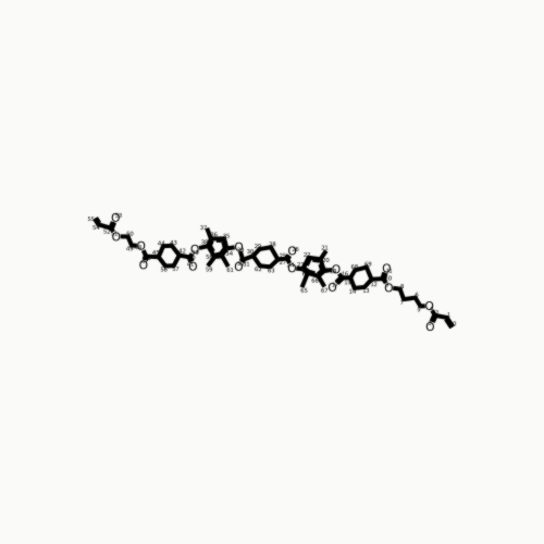 C=CC(=O)OCCCCOC(=O)C1CCC(C(=O)Oc2c(C)cc(OC(=O)C3CCC(C(=O)Oc4cc(C)c(OC(=O)C5CCC(C(=O)OCCOC(=O)C=C)CC5)c(C)c4C)CC3)c(C)c2C)CC1